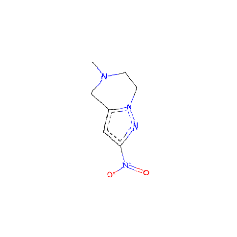 CN1CCn2nc([N+](=O)[O-])cc2C1